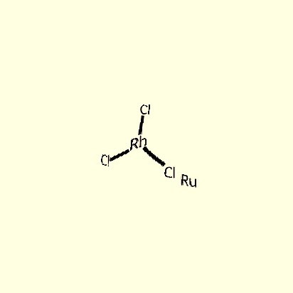 [Cl][Rh]([Cl])[Cl].[Ru]